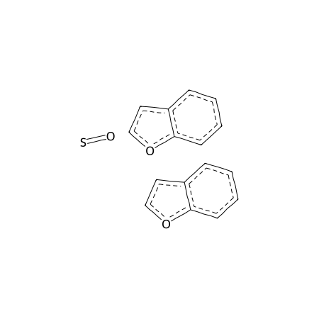 O=S.c1ccc2occc2c1.c1ccc2occc2c1